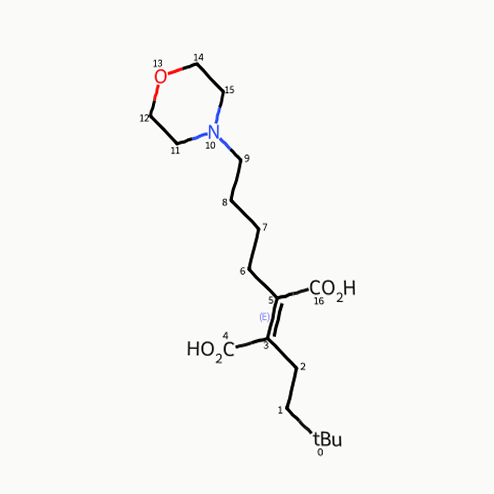 CC(C)(C)CC/C(C(=O)O)=C(/CCCCN1CCOCC1)C(=O)O